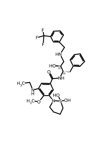 CCNc1cc(C(=O)N[C@@H](Cc2ccccc2)[C@@H](O)CNCc2cccc(C(F)(F)F)c2)cc(N2CCCCS2(O)O)c1OC